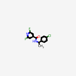 CC(NC(=O)c1cc(F)nc(F)c1)c1ccc(Cl)cc1